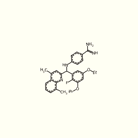 CCOc1cc(OC(C)C)c(F)c(C(Nc2ccc(C(=N)N)cc2)c2cc(C)c3cccc(C)c3n2)c1